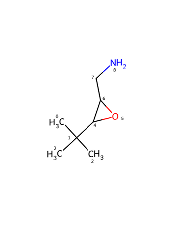 CC(C)(C)C1OC1CN